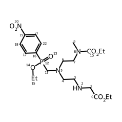 CCOC(=O)CNCCN(CCN(C)C(=O)OCC)CP(=O)(OCC)c1ccc([N+](=O)[O-])cc1